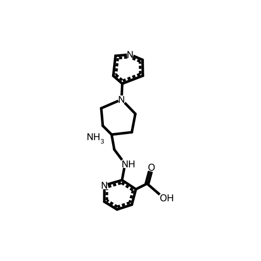 N.O=C(O)c1cccnc1NCC1CCN(c2ccncc2)CC1